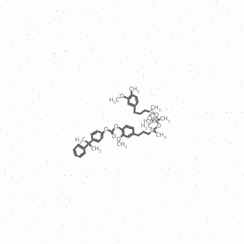 COc1cc(CCC[Si](C)(C)O[Si](C)(C)O[Si](C)(C)CCCc2ccc(OC(=O)Oc3ccc(C(C)(C)c4ccccc4)cc3)c(OC)c2)ccc1C